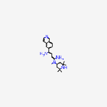 CN(/C(N)=C/C=C(\N)c1ccc2cnccc2c1)C1CC(C)(C)NC(C)(C)C1